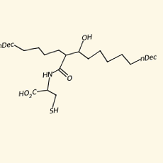 CCCCCCCCCCCCCCCC(O)C(CCCCCCCCCCCCCC)C(=O)NC(CS)C(=O)O